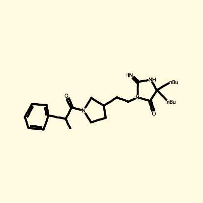 CCCCC1(CCCC)NC(=N)N(CCC2CCN(C(=O)C(C)c3ccccc3)C2)C1=O